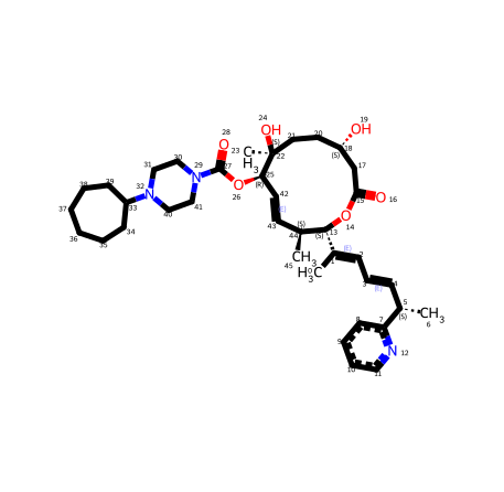 C/C(=C\C=C\[C@H](C)c1ccccn1)[C@H]1OC(=O)C[C@@H](O)CC[C@](C)(O)[C@H](OC(=O)N2CCN(C3CCCCCC3)CC2)/C=C/[C@@H]1C